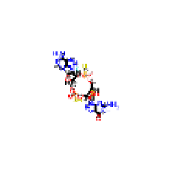 Nc1nc2c(nnn2[C@@H]2S[C@@H]3COP(=O)(S)O[C@@H]4[C@@H](COP(=O)(S)O[C@@H]2[C@@H]3O)OC[C@@]4(F)n2nnc3c(N)ncnc32)c(=O)[nH]1